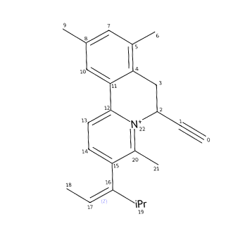 C#CC1Cc2c(C)cc(C)cc2-c2ccc(/C(=C\C)C(C)C)c(C)[n+]21